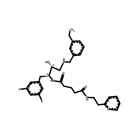 CCc1cccc(CNC[C@@H](O)[C@H](Cc2cc(F)cc(F)c2)NC(=O)CCCC(=O)NCCc2ccccn2)c1